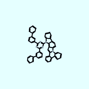 c1ccc(-c2cccc(-c3nc(-c4cccc(-c5ccccc5)c4)nc(-n4c5ccccc5c5ccc6c(cc7c8ccccc8c8ccccc8n76)c54)n3)c2)cc1